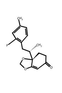 Cc1ccc(C[C@H](C)[C@]23CCC(=O)C=C2OCO3)c(F)c1